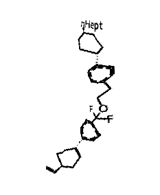 C=C[C@H]1CC[C@H](c2ccc(C(F)(F)OCCc3ccc([C@H]4CC[C@H](CCCCCCC)CC4)cc3)cc2)CC1